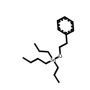 CCC[CH2][Sn]([CH2]CC)([CH2]CC)[O]CCc1ccccc1